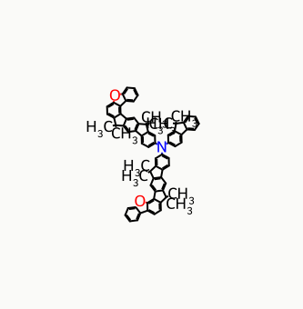 CC1(C)c2ccccc2-c2ccc(N(c3ccc4c(c3)C(C)(C)c3cc5c(cc3-4)C(C)(C)c3ccc4c(oc6ccccc64)c3-5)c3ccc4c(c3)C(C)(C)c3cc5c(cc3-4)C(C)(C)c3ccc4oc6ccccc6c4c3-5)cc21